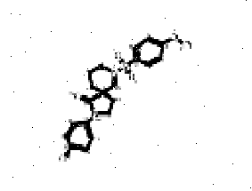 CC(C)Oc1ccc(S(=O)(=O)N2CCCC3(CCN(c4ccc(Cl)cc4)C3=O)C2)cc1